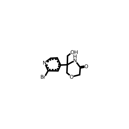 O=C1COCC(CO)(c2ccnc(Br)c2)N1